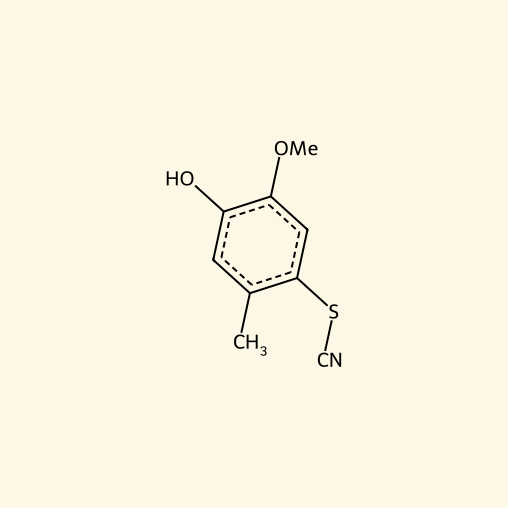 COc1cc(SC#N)c(C)cc1O